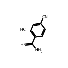 Cl.N#Cc1ccc(C(=N)N)cc1